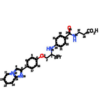 CC(C)C(COc1ccc(-c2cn3ccccc3n2)cc1)Nc1ccc(C(=O)NCCC(=O)O)cc1